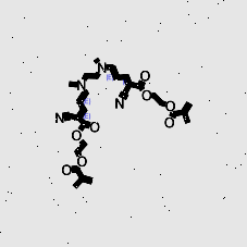 C=C(C)C(=O)OCCOC(=O)/C(C#N)=C/C=C/N(C)CCN(C)/C=C/C=C(\C#N)C(=O)OCCOC(=O)C(=C)C